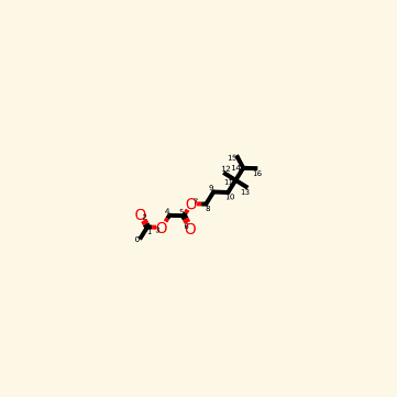 CC(=O)OCC(=O)OCCCC(C)(C)C(C)C